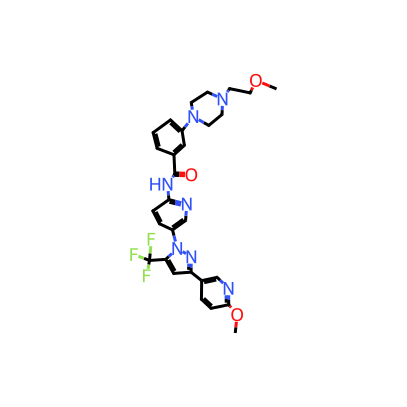 COCCN1CCN(c2cccc(C(=O)Nc3ccc(-n4nc(-c5ccc(OC)nc5)cc4C(F)(F)F)cn3)c2)CC1